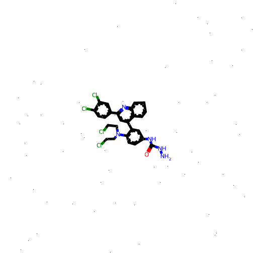 NNC(=O)Nc1ccc(N(CCCl)CCCl)c(-c2cc(-c3ccc(Cl)c(Cl)c3)nc3ccccc23)c1